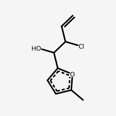 C=CC(Cl)C(O)c1ccc(C)o1